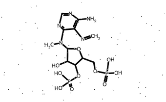 C=Nc1c(N)ncnc1N(C)C1OC(COP(=O)(O)O)C(OP(=O)(O)O)C1O